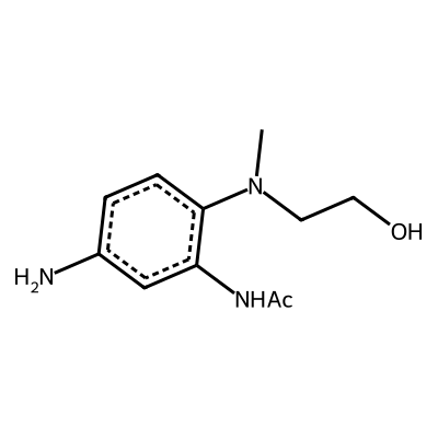 CC(=O)Nc1cc(N)ccc1N(C)CCO